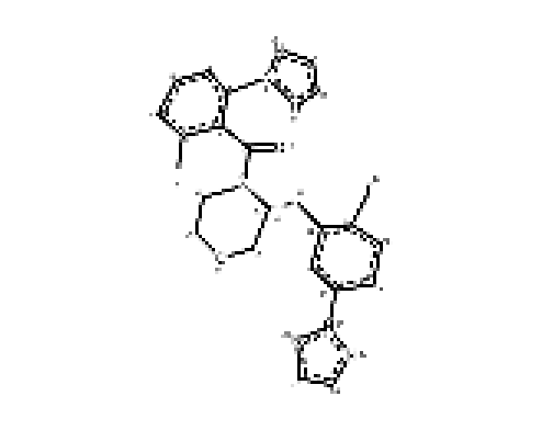 O=C(c1c(F)cccc1-n1nccn1)N1CCOC[C@H]1Cc1cc(-n2nccn2)ccc1F